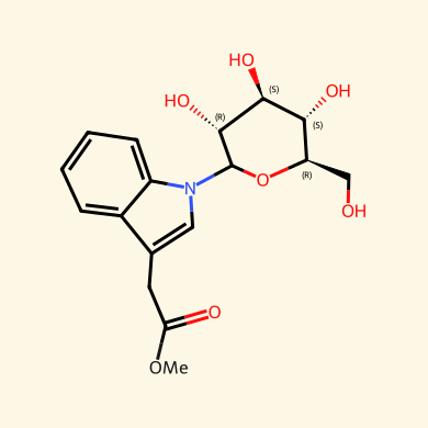 COC(=O)Cc1cn(C2O[C@H](CO)[C@@H](O)[C@H](O)[C@H]2O)c2ccccc12